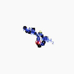 CC(C)(Cc1cccc(-c2ccc3ccc(-c4nc(C5CC(N6CCSC6)C5)n5ccnc(N)c45)cc3n2)c1)OC(=O)N1CCN(CCN[C@H]2C[C@@H](c3nc(-c4ccc5ccc(-c6ccccc6)nc5c4)c4c(N)cccn43)C2)CC1